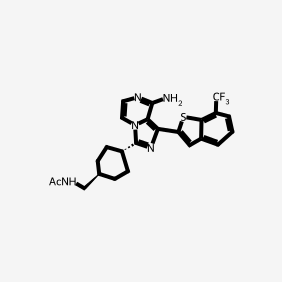 CC(=O)NC[C@H]1CC[C@H](c2nc(-c3cc4cccc(C(F)(F)F)c4s3)c3c(N)nccn32)CC1